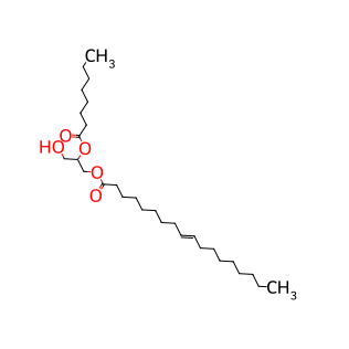 CCCCCCCCC=CCCCCCCCC(=O)OCC(CO)OC(=O)CCCCCCC